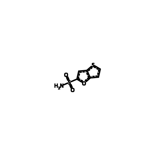 NS(=O)(=O)c1cc2sccc2o1